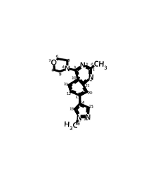 Cc1nc(N2CCOCC2)c2ccc(-c3cnn(C)c3)cc2n1